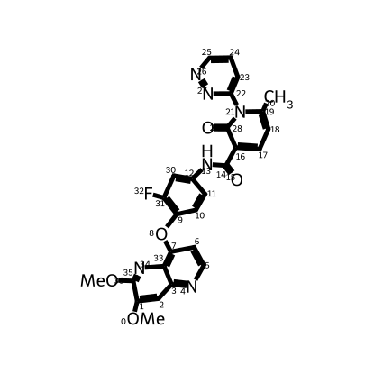 COc1cc2nccc(Oc3ccc(NC(=O)c4ccc(C)n(-c5cccnn5)c4=O)cc3F)c2nc1OC